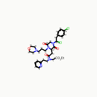 CCOC(=O)CN(CCc1ccccn1)C(=O)CC1C(=O)N(C(Cl)Cc2ccc(Cl)cc2)CC(=O)N1CCCN1CCOCC1